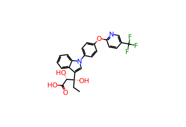 CC[C@](O)(c1cn(-c2ccc(Oc3ccc(C(F)(F)F)cn3)cc2)c2ccccc12)[C@@H](O)C(=O)O